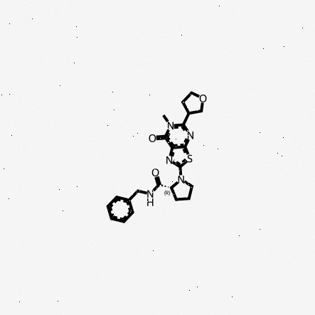 Cn1c(C2CCOC2)nc2sc(N3CCC[C@@H]3C(=O)NCc3ccccc3)nc2c1=O